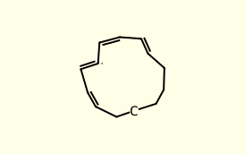 [C]1=C/C=C\CCCCC/C=C/C=C/1